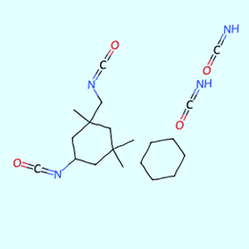 C1CCCCC1.CC1(C)CC(N=C=O)CC(C)(CN=C=O)C1.N=C=O.N=C=O